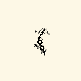 CC(C)(O)CCn1cc2cc([N+](=O)[O-])c(-c3ccc(C(F)(F)F)nc3)cc2n1